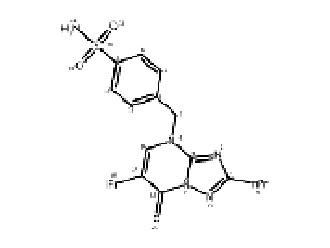 CCCc1nc2n(Cc3ccc(S(N)(=O)=O)cc3)cc(C(C)C)c(=O)n2n1